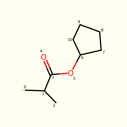 [CH2]C(C)C(=O)OC1CCCC1